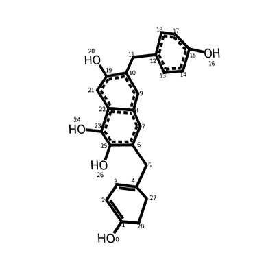 OC1=CC=C(Cc2cc3cc(Cc4ccc(O)cc4)c(O)cc3c(O)c2O)CC1